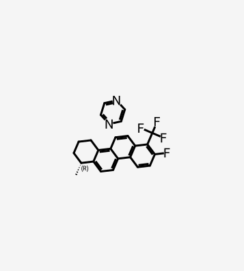 C[C@@H]1CCCc2c1ccc1c2ccc2c(C(F)(F)F)c(F)ccc21.c1cnccn1